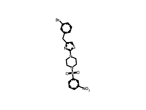 O=[N+]([O-])c1cccc(S(=O)(=O)N2CCN(c3nc(Cc4cccc(Br)c4)cs3)CC2)c1